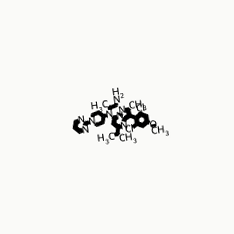 COc1cc(Cl)c(-c2c(C)nn3c(N(C(C)CN)C4CCN(c5ncccn5)CC4)cc(C(C)C)nc23)c(Cl)c1